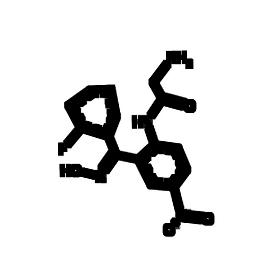 NCC(=O)Nc1ccc([N+](=O)[O-])cc1C(=NO)c1ccccc1F